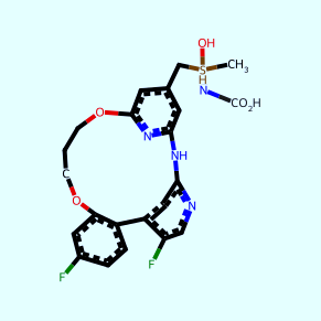 C[SH](O)(Cc1cc2nc(c1)OCCCOc1cc(F)ccc1-c1cc(ncc1F)N2)=NC(=O)O